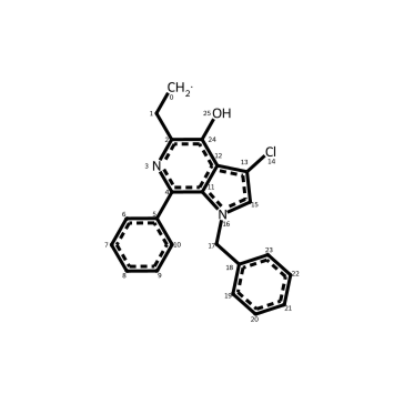 [CH2]Cc1nc(-c2ccccc2)c2c(c(Cl)cn2Cc2ccccc2)c1O